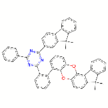 CC1(C)c2ccccc2-c2ccc(-c3nc(-c4ccccc4)nc(-c4ccccc4-c4cccc5c4Oc4ccc6c(c4O5)-c4ccccc4C6(C)C)n3)cc21